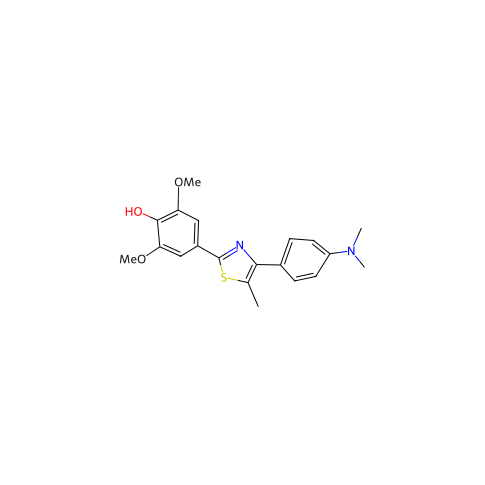 COc1cc(-c2nc(-c3ccc(N(C)C)cc3)c(C)s2)cc(OC)c1O